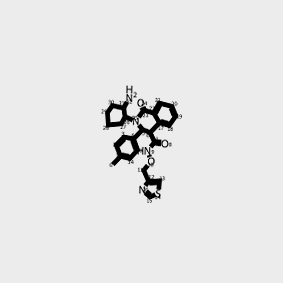 Cc1ccc(C2C(C(=O)NOCc3cscn3)c3ccccc3C(=O)N2C2CCCCC2N)cc1